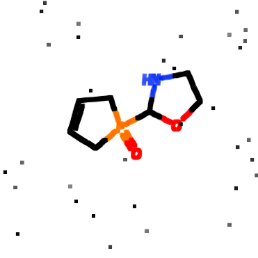 O=P1(C2NCCO2)CC=CC1